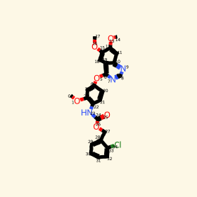 COc1cc(Oc2ncnc3cc(OC)c(OC)cc23)ccc1NC(=O)OCc1ccccc1Cl